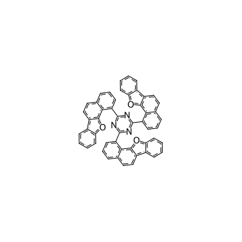 c1cc(-c2nc(-c3cccc4ccc5c6ccccc6oc5c34)nc(-c3cccc4ccc5c6ccccc6oc5c34)n2)c2c(c1)ccc1c3ccccc3oc12